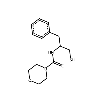 O=C(NC(CS)Cc1ccccc1)N1CCOCC1